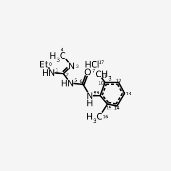 CCNC(=NC)NC(=O)Nc1c(C)cccc1C.Cl